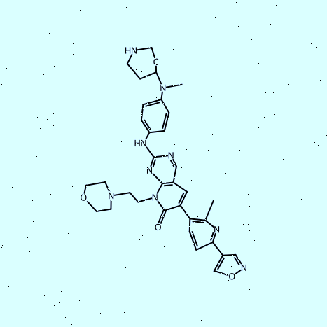 Cc1nc(-c2cnoc2)ccc1-c1cc2cnc(Nc3ccc(N(C)C4CCNCC4)cc3)nc2n(CCN2CCOCC2)c1=O